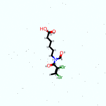 C/C(Br)=C(/Br)C(=O)N(C=O)CCCCCC(=O)O